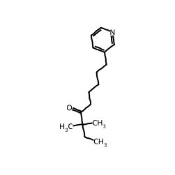 CCC(C)(C)C(=O)CCCCCc1cccnc1